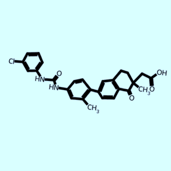 Cc1cc(NC(=O)Nc2cccc(Cl)c2)ccc1-c1ccc2c(c1)CCC(C)(CC(=O)O)C2=O